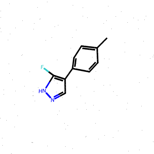 Cc1ccc(-c2cn[nH]c2F)cc1